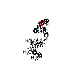 Cc1ncsc1-c1ccc([C@H](C)NC(=O)[C@@H]2C[C@@H](O)CN2C(=O)[C@@H](c2cc(OCCN3CCC(OC4CC(Oc5cc(N6C7CC[C@@H]6CN(c6ccn8cc(-c9ccccc9O)nc8n6)C7)ccn5)C4)CC3)no2)C(C)C)cc1